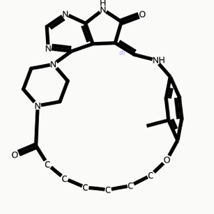 Cc1cc2ccc1OCCCCCCC(=O)N1CCN(CC1)c1ncnc3c1/C(=C/N2)C(=O)N3